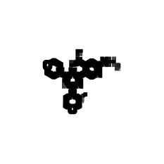 C[C@@H]1COCCN1c1nc(-c2cnc(N)cc2C(F)F)nc(N2CCOCC2)n1